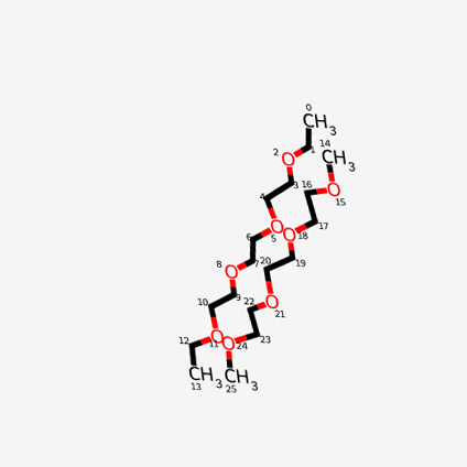 CCOCCOCCOCCOCC.COCCOCCOCCOC